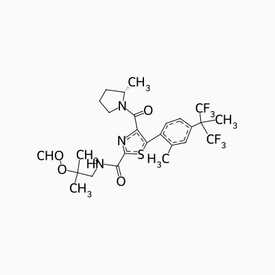 Cc1cc(C(C)(C(F)(F)F)C(F)(F)F)ccc1-c1sc(C(=O)NCC(C)(C)OC=O)nc1C(=O)N1CCC[C@@H]1C